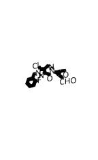 O=CC1OCC2C1C2n1ncc2c(Cl)n(Cc3ccccc3F)nc2c1=O